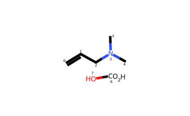 C=CCN(C)C.O=C(O)O